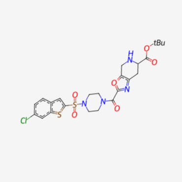 CC(C)(C)OC(=O)C1Cc2nc(C(=O)N3CCN(S(=O)(=O)c4cc5ccc(Cl)cc5s4)CC3)oc2CN1